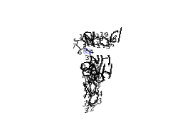 O=C(NC/C=C1\CCCc2cnn(Cc3ccc(Cl)cc3Cl)c21)NS(=O)(=O)c1cnc2ccccc2c1